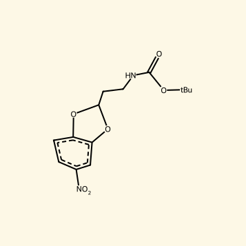 CC(C)(C)OC(=O)NCCC1Oc2ccc([N+](=O)[O-])cc2O1